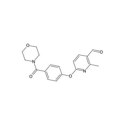 Cc1nc(Oc2ccc(C(=O)N3CCOCC3)cc2)ccc1C=O